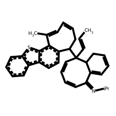 CC=CC1(C2C/C=C\C=C(/C)c3c2ccc2c3sc3ccccc32)\C=C/C=C\C(=N\C(C)C)C2=CC=CCC21